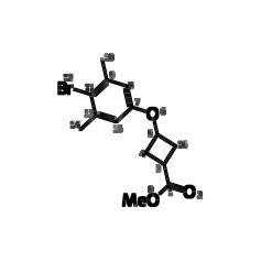 COC(=O)C1CC(Oc2cc(C)c(Br)c(C)c2)C1